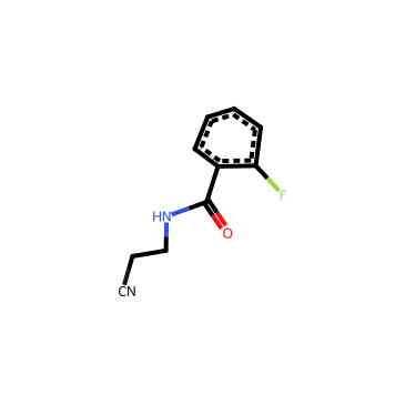 N#CCCNC(=O)c1ccccc1F